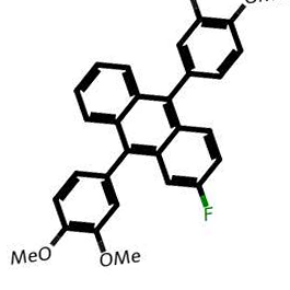 COc1ccc(-c2c3ccccc3c(-c3ccc(OC)c(OC)c3)c3cc(F)ccc23)cc1OC